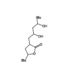 CC(C)(C)C(O)CC(O)CC1CC(C(C)(C)C)OC1=O